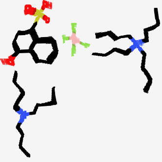 CCCCN(CCCC)CCCC.CCCC[N+](CCCC)(CCCC)CCCC.F[B-](F)(F)F.O=S(=O)(O)c1ccc(O)c2ccccc12